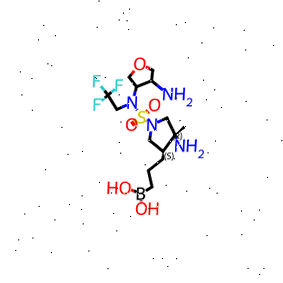 C[C@]1(N)CN(S(=O)(=O)N(CC(F)(F)F)C2COCC2N)C[C@@H]1CCCB(O)O